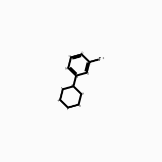 Fc1[c]c(C2CCCCC2)ccc1